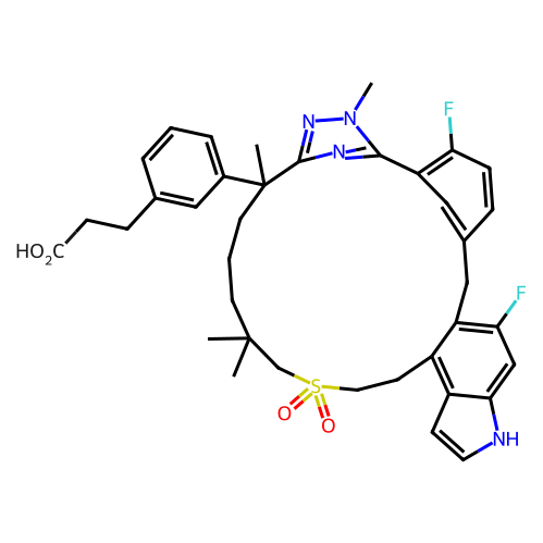 Cn1nc2nc1-c1cc(ccc1F)Cc1c(F)cc3[nH]ccc3c1CCS(=O)(=O)CC(C)(C)CCCC2(C)c1cccc(CCC(=O)O)c1